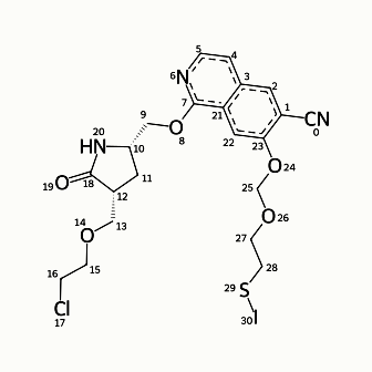 N#Cc1cc2ccnc(OC[C@@H]3C[C@H](COCCCl)C(=O)N3)c2cc1OCOCCSI